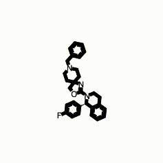 Fc1ccc([C@H]2c3ccccc3CCN2C2=NC3(CCN(Cc4ccccc4)CC3)CO2)cc1